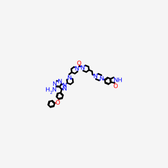 Nc1ncnc2c1c(-c1ccc(Oc3ccccc3)cc1)nn2[C@@H]1CCCN(CC2CCN(C(=O)N3CCC(CCN4CCN(c5ccc6c(c5)CNC6=O)CC4)CC3)CC2)C1